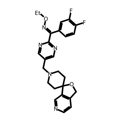 CCO/N=C(\c1ccc(F)c(F)c1)c1ncc(CN2CCC3(CC2)OCc2ccncc23)cn1